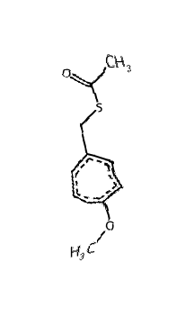 COc1ccc(CSC(C)=O)cc1